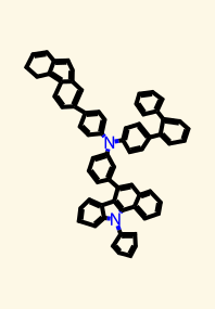 C1=Cc2ccc3cc(-c4ccc(N(c5ccc(-c6ccccc6-c6ccccc6)cc5)c5cccc(-c6cc7ccccc7c7c6c6ccccc6n7-c6ccccc6)c5)cc4)ccc3c2CC1